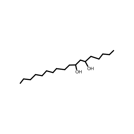 CCCCCCCCCCC(O)CC(O)CCCCC